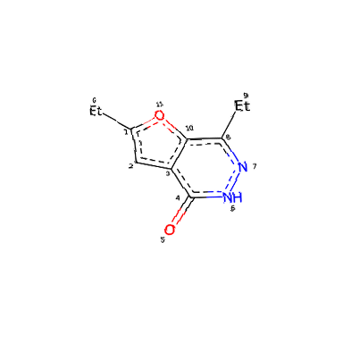 CCc1cc2c(=O)[nH]nc(CC)c2o1